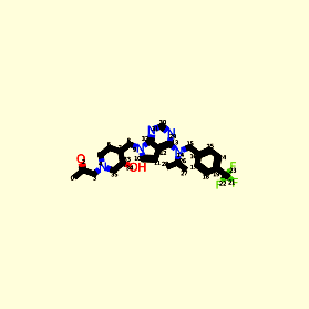 CC(=O)CN1CCC(Cn2ccc3c(N(Cc4ccc(C(F)(F)F)cc4)C(C)C)ncnc32)C(O)C1